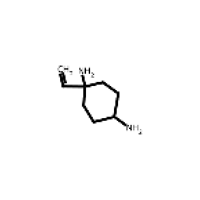 C=CC1(N)CCC(N)CC1